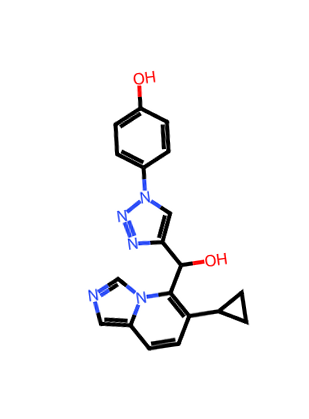 Oc1ccc(-n2cc(C(O)c3c(C4CC4)ccc4cncn34)nn2)cc1